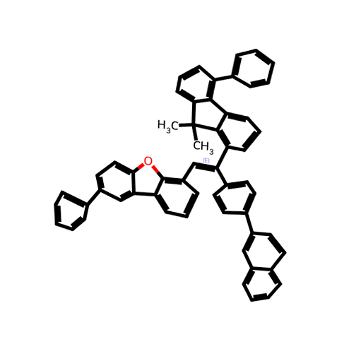 CC1(C)c2cccc(-c3ccccc3)c2-c2cccc(/C(=C/c3cccc4c3oc3ccc(-c5ccccc5)cc34)c3ccc(-c4ccc5ccccc5c4)cc3)c21